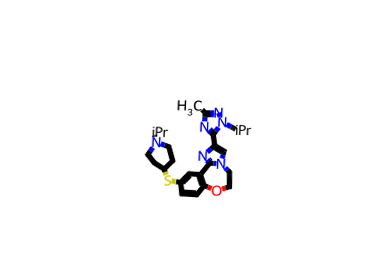 Cc1nc(-c2cn3c(n2)-c2cc(SC4CCN(C(C)C)CC4)ccc2OCC3)n(C(C)C)n1